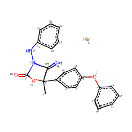 Br.CC1(c2ccc(Oc3ccccc3)cc2)OC(=O)N(Nc2ccccc2)C1=N